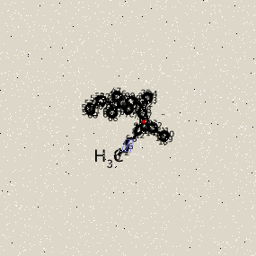 CC/C=C\C=C/Cc1ccc2c(c1)c1cc(-c3ccccc3)ccc1n2-c1ccc(N(c2ccccc2)c2cccc3c(-c4c5ccccc5c(-c5cccc(-c6ccccc6)c5)c5ccccc45)cccc23)cc1